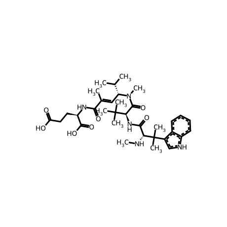 CN[C@H](C(=O)N[C@H](C(=O)N(C)[C@H](/C=C(\C)C(=O)N[C@H](CCC(=O)O)C(=O)O)C(C)C)C(C)(C)C)C(C)(C)c1c[nH]c2ccccc12